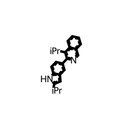 CC(C)c1cc2cc(-c3ncc4ccccc4c3C(C)C)ccc2[nH]1